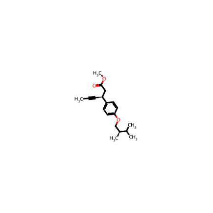 CC#C[C@@H](CC(=O)OC)c1ccc(OC[C@H](C)C(C)C)cc1